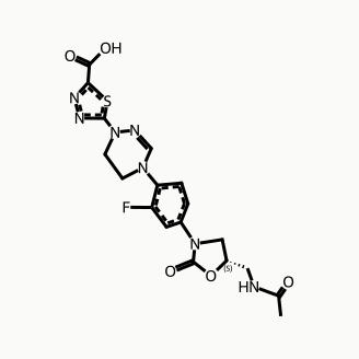 CC(=O)NC[C@H]1CN(c2ccc(N3C=NN(c4nnc(C(=O)O)s4)CC3)c(F)c2)C(=O)O1